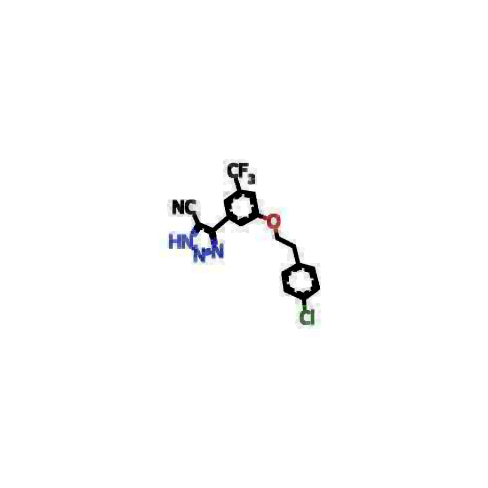 N#Cc1[nH]nnc1-c1cc(OCCc2ccc(Cl)cc2)cc(C(F)(F)F)c1